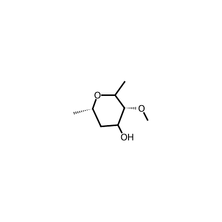 CO[C@@H]1C(O)C[C@H](C)OC1C